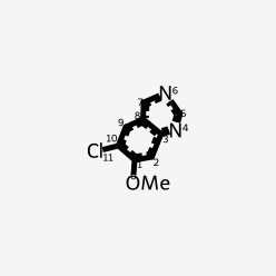 COc1cc2ncn[c]c2cc1Cl